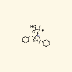 N[C@H](/C=C\Cc1ccccc1)Cc1ccccc1.O=C(O)C(F)(F)F